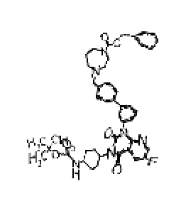 CC(C)(C)OC(=O)N[C@H]1CC[C@@H](n2c(=O)c3cc(F)cnc3n(-c3cccc(-c4ccc(CN5CCCN(C(=O)OCc6ccccc6)CC5)cc4)c3)c2=O)CC1